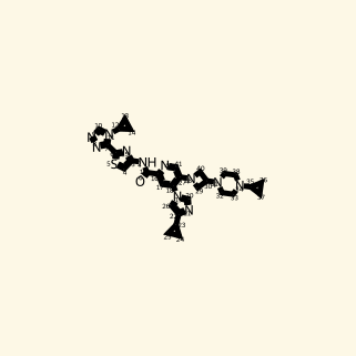 O=C(Nc1csc(-c2nncn2C2CC2)n1)c1cc(-n2cnc(C3CC3)c2)c(N2CC(N3CCN(C4CC4)CC3)C2)cn1